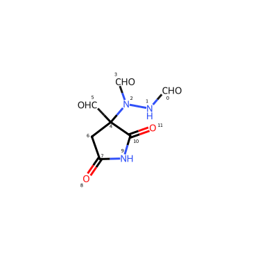 O=CNN(C=O)C1(C=O)CC(=O)NC1=O